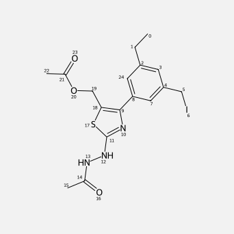 CCc1cc(CI)cc(-c2nc(NNC(C)=O)sc2COC(C)=O)c1